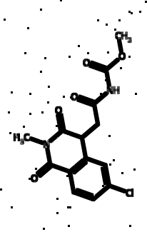 COC(=O)NC(=O)CC1C(=O)N(C)C(=O)c2ccc(Cl)cc21